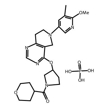 COc1ncc(N2CCc3ncnc(OC4CCN(C(=O)C5CCOCC5)C4)c3C2)cc1C.O=P(O)(O)O